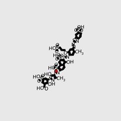 Cc1cc(N=Nc2c(S(=O)(=O)O)cc3c(S(=O)(=O)O)c(N=Nc4c(C)nn(-c5cc(S(=O)(=O)O)cc(C(=O)O)c5O)c4O)ccc3c2O)c(OCCCS(=O)(=O)O)cc1N=Nc1nc2ccc(S(=O)(=O)O)cc2s1